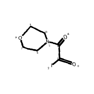 O=C(I)C(=O)N1CCOCC1